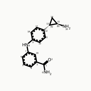 NC(=O)c1cccc(Nc2ccc([C@@H]3C[C@H]3N)cc2)c1